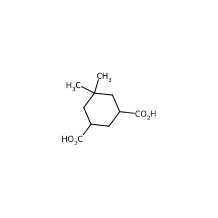 CC1(C)CC(C(=O)O)CC(C(=O)O)C1